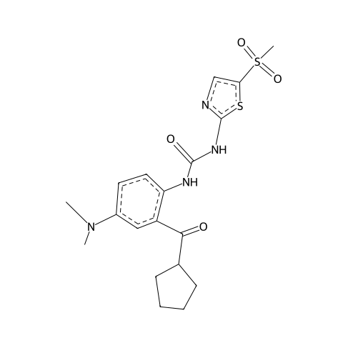 CN(C)c1ccc(NC(=O)Nc2ncc(S(C)(=O)=O)s2)c(C(=O)C2CCCC2)c1